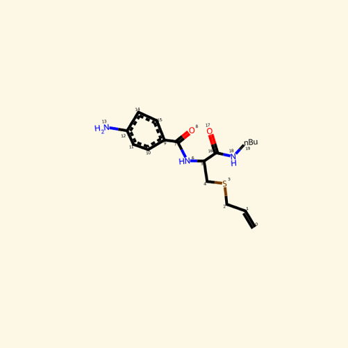 C=CCSCC(NC(=O)c1ccc(N)cc1)C(=O)NCCCC